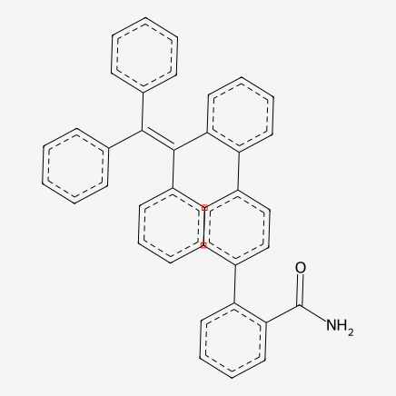 NC(=O)c1ccccc1-c1ccc(-c2ccccc2C(=C(c2ccccc2)c2ccccc2)c2ccccc2)cc1